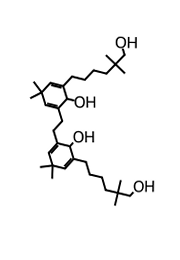 CC1(C)C=C(CCCCC(C)(C)CO)C(O)C(CCC2=CC(C)(C)C=C(CCCCC(C)(C)CO)C2O)=C1